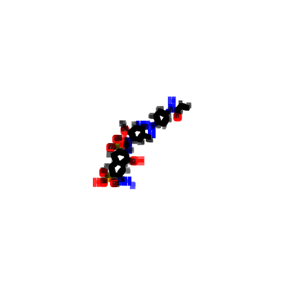 C=CC(=O)Nc1ccc(NNc2cc(OC)c(/N=N/c3c(S(=O)(=O)O)cc4cc(S(=O)(=O)O)c(N)cc4c3O)cc2C)cc1